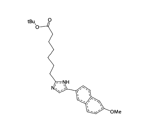 COc1ccc2cc(-c3cnc(CCCCCCC(=O)OC(C)(C)C)[nH]3)ccc2c1